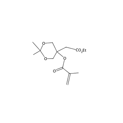 C=C(C)C(=O)OC1(CC(=O)OCC)COC(C)(C)OC1